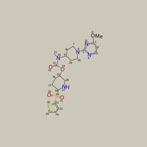 COc1ccnc(N2CCC(N(C)C(=O)OC3CCC(S(=O)(=O)c4cccs4)NC3)CC2)n1